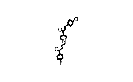 O=C(CCCN1CCC(C(=O)C=Cc2ccc(Cl)cc2)CC1)c1ccc(F)cc1